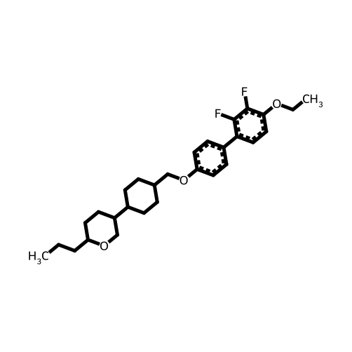 CCCC1CCC(C2CCC(COc3ccc(-c4ccc(OCC)c(F)c4F)cc3)CC2)CO1